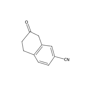 N#Cc1ccc2c(c1)CC(=O)CC2